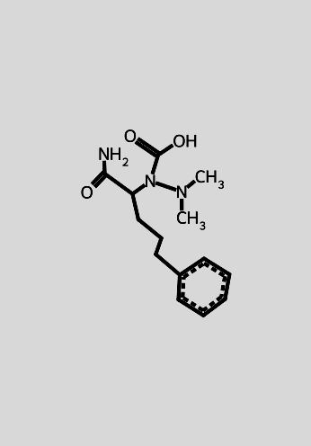 CN(C)N(C(=O)O)C(CCCc1ccccc1)C(N)=O